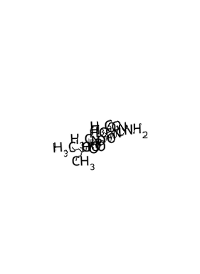 CCCC(CCC)COC(=O)[C@H](C)NP(=O)(O)OC[C@H]1O[C@@H](n2ccc(N)nc2=O)C(OC)C1O